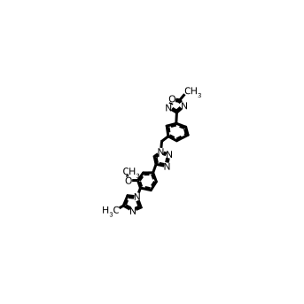 COc1cc(-c2cn(Cc3cccc(-c4noc(C)n4)c3)nn2)ccc1-n1cnc(C)c1